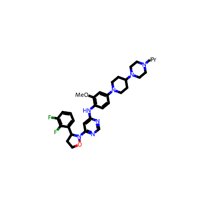 COc1cc(N2CCC(N3CCN(C(C)C)CC3)CC2)ccc1Nc1cc(N2OCCC2c2cccc(F)c2F)ncn1